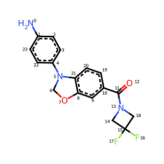 Nc1ccc(N2COc3cc(C(=O)N4CC(F)(F)C4)ccc32)cc1